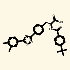 Cc1ccc(-c2nc(-c3ccc(C[C@H](NC(=O)c4ccc(C(C)(C)C)cc4)C(=O)O)cc3)no2)cc1C